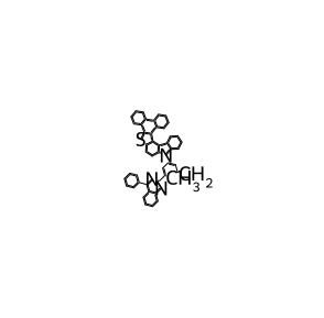 C=C/C=C(\C=C(/C)c1nc(-c2ccccc2)c2ccccc2n1)n1c2ccccc2c2c3c(ccc21)sc1c2ccccc2c2ccccc2c13